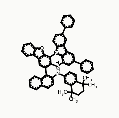 CC1(C)CCC(C)(C)c2cc(Nc3ccc4ccccc4c3-c3cc4c(oc5ccccc54)c4c3Bc3cc(-c5ccccc5)cc5c6cc(-c7ccccc7)ccc6n-4c35)ccc21